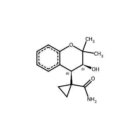 CC1(C)Oc2ccccc2[C@H](C2(C(N)=O)CC2)[C@@H]1O